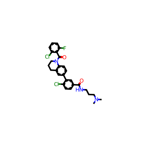 CN(C)CCCNC(=O)c1ccc(Cl)c(-c2ccc3c(c2)CCCN3C(=O)c2c(F)cccc2Cl)c1